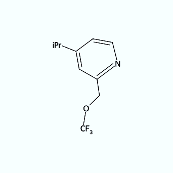 CC(C)c1ccnc(COC(F)(F)F)c1